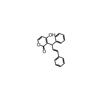 O=c1occc(O)c1C(C=Cc1ccccc1)c1ccccc1